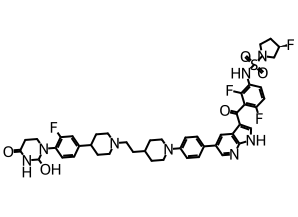 O=C1CCN(c2ccc(C3CCN(CCC4CCN(c5ccc(-c6cnc7[nH]cc(C(=O)c8c(F)ccc(NS(=O)(=O)N9CC[C@@H](F)C9)c8F)c7c6)cc5)CC4)CC3)cc2F)C(O)N1